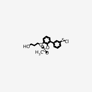 CS(=O)(=O)Oc1c(OCCCO)cccc1-c1cccc(SCl)c1